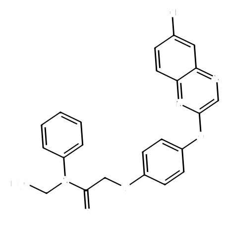 O=C(O)CN(C(=O)COc1ccc(Oc2cnc3cc(Cl)ccc3n2)cc1)c1ccccc1